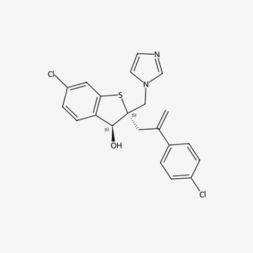 C=C(C[C@@]1(Cn2ccnc2)Sc2cc(Cl)ccc2[C@@H]1O)c1ccc(Cl)cc1